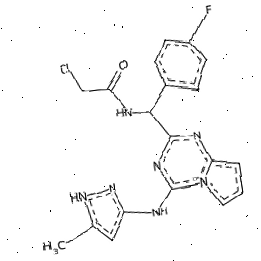 Cc1cc(Nc2nc(C(NC(=O)CCl)c3ccc(F)cc3)nc3cccn23)n[nH]1